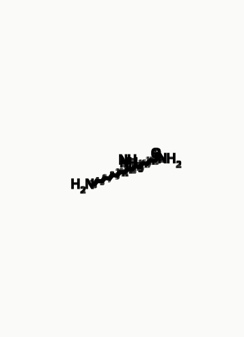 N.N.NCCCCCCCCCCCCCCCCCC(N)=O